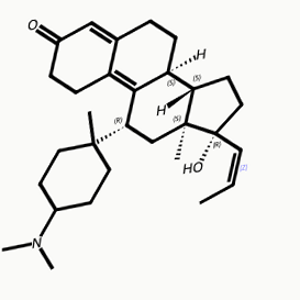 C/C=C\[C@]1(O)CC[C@H]2[C@@H]3CCC4=CC(=O)CCC4=C3[C@@H](C3(C)CCC(N(C)C)CC3)C[C@@]21C